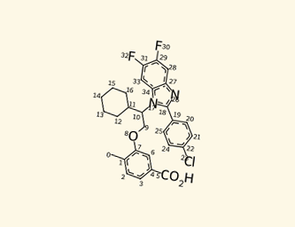 Cc1ccc(C(=O)O)cc1OCC(C1CCCCC1)n1c(-c2ccc(Cl)cc2)nc2cc(F)c(F)cc21